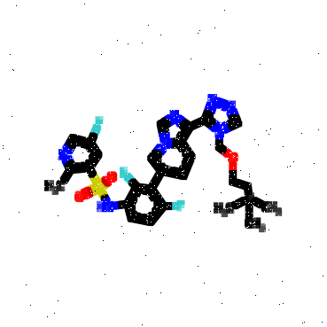 Cc1ncc(F)cc1S(=O)(=O)Nc1ccc(F)c(-c2ccc3c(-c4nncn4COCC[Si](C)(C)C)ncn3c2)c1F